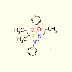 C=CCN(C=Nc1ccccc1)P(=O)(Oc1ccccc1)SC(C)CC